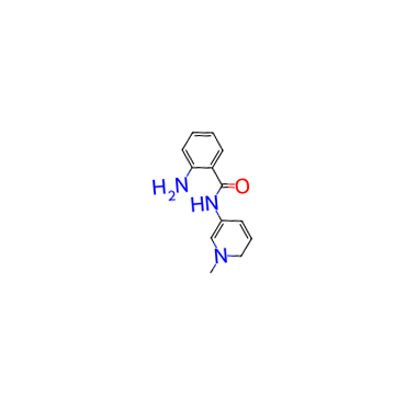 CN1C=C(NC(=O)c2ccccc2N)C=CC1